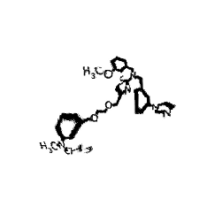 COc1cccc(CN(Cc2cccc(-n3ccnc3)c2)c2nc(COCCOc3cccc(N(C)C)c3)cs2)c1